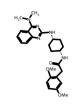 COc1ccc(OC)c(CC(=O)N[C@H]2CC[C@@H](Nc3nc(N(C)C)c4ccccc4n3)CC2)c1